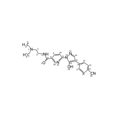 CN(C)CCNC(=O)c1ccc(-n2ncc(-c3ccc(C#N)cc3)c2O)nc1